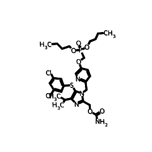 CCCCOP(=O)(COc1ccc(Cn2c(COC(N)=O)nc(C(C)C)c2Sc2cc(Cl)cc(Cl)c2)nc1)OCCCC